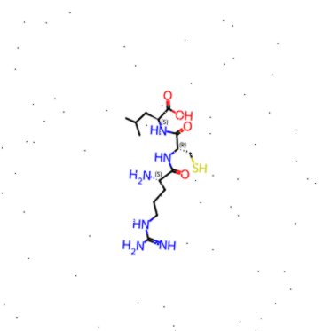 CC(C)C[C@H](NC(=O)[C@H](CS)NC(=O)[C@@H](N)CCCNC(=N)N)C(=O)O